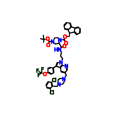 CC(C)(C)OC(=O)N1CCN(C(=O)OCC2c3ccccc3-c3ccccc32)C(C(=O)NCCCn2cc(-c3ccc(OC(F)(F)F)cc3)c3cc(CN4CCN(Cc5c(Cl)cccc5Cl)CC4)cnc32)C1